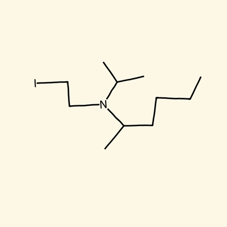 CCCCC(C)N(CCI)C(C)C